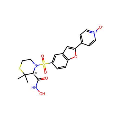 CC1(C)SCCN(S(=O)(=O)c2ccc3oc(-c4cc[n+]([O-])cc4)cc3c2)[C@H]1C(=O)NO